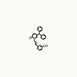 O=c1ccc(C(c2ccccc2)c2ccccc2)cn1C/C=C/c1cccc(O)c1